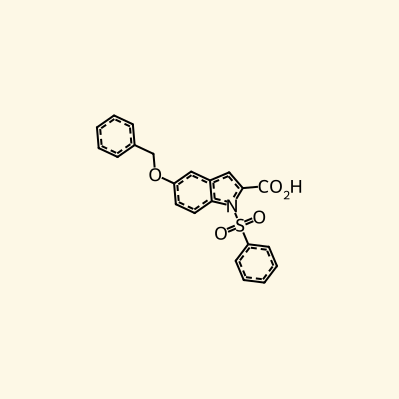 O=C(O)c1cc2cc(OCc3ccccc3)ccc2n1S(=O)(=O)c1ccccc1